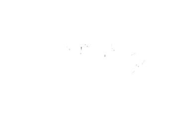 O=C(CCNC(=O)CN1CCCC1)NCCC(=O)ON1C(=O)CCC1=O